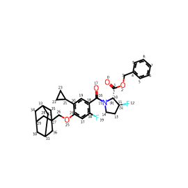 O=C(OCc1ccccc1)[C@@H]1[C@@H](F)CCN1C(=O)c1cc(C2CC2)c(OCC23CC4CC(CC(C4)C2)C3)cc1F